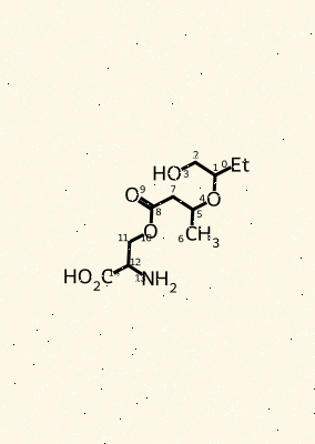 CCC(CO)OC(C)CC(=O)OCC(N)C(=O)O